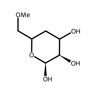 COCC1CC(O)[C@@H](O)[C@@H](O)O1